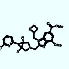 COC(=O)c1cc(OC)c2nc(CN3C[C@@H]4C(c5cccc(O)n5)[C@@H]4C3)n(CC3CCO3)c2c1